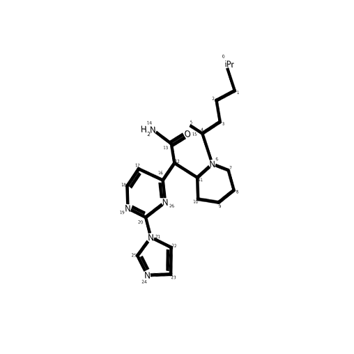 CC(C)CCCC(C)N1CCCCC1C(C(N)=O)c1ccnc(-n2ccnc2)n1